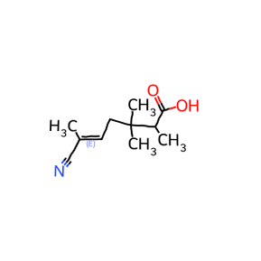 C/C(C#N)=C\CC(C)(C)C(C)C(=O)O